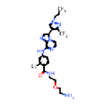 CCc1cc(Nc2nccn3c(-c4cn(CCC(F)(F)F)nc4C(F)(F)F)cnc23)ccc1C(=O)NCCOCCN